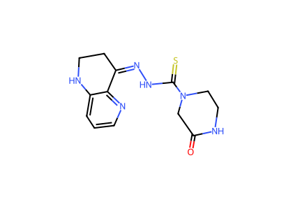 O=C1CN(C(=S)N/N=C2/CCNc3cccnc32)CCN1